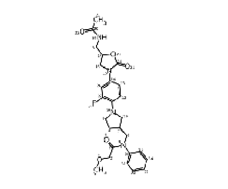 COCC(=O)N(CC1CCN(c2ccc(N3CC(CNC(C)=O)OC3=O)cc2F)C1)c1ccccc1